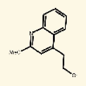 COc1cc(CC[O])c2ccccc2n1